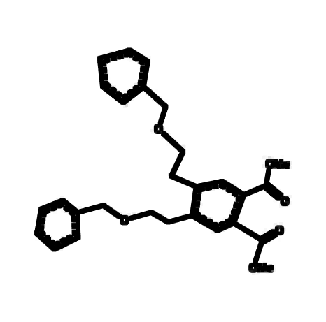 COC(=O)c1cc(CCOCc2ccccc2)c(CCOCc2ccccc2)cc1C(=O)OC